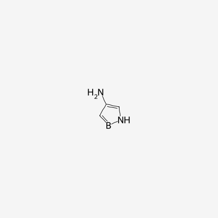 Nc1cb[nH]c1